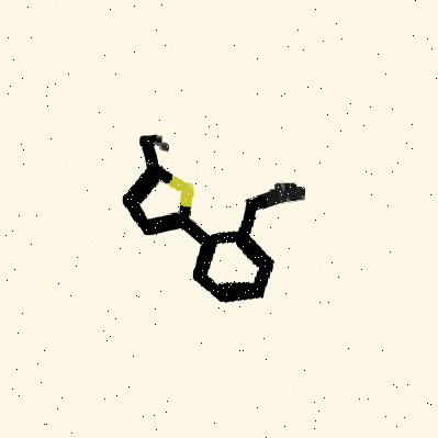 CNCc1ccccc1-c1ccc(C)s1